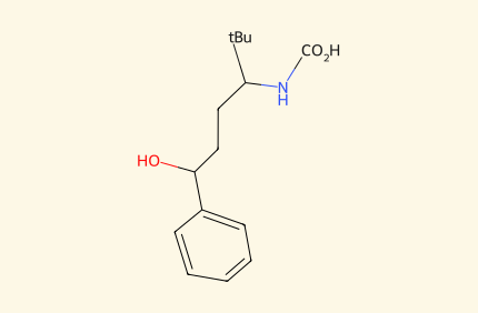 CC(C)(C)C(CCC(O)c1ccccc1)NC(=O)O